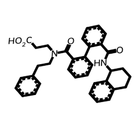 O=C(O)CCN(CCc1ccccc1)C(=O)c1ccccc1-c1ccccc1C(=O)NC1CCCc2ccccc21